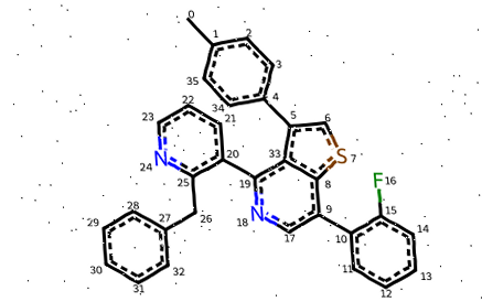 Cc1ccc(-c2csc3c(-c4ccccc4F)cnc(-c4cccnc4Cc4ccccc4)c23)cc1